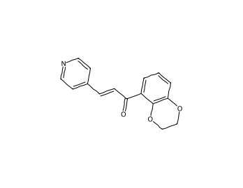 O=C(C=Cc1ccncc1)c1cccc2c1OCCO2